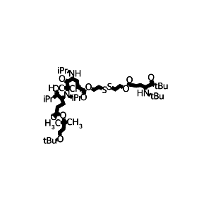 CC(C)NC(CCC(=O)OCCSSCCOC(=O)CCC(NC(C)(C)C)C(=O)C(C)(C)C)C(=O)C(C)(C)N(C(C)C)C(CCC(=O)OC(C)(C)CCOC(C)(C)C)C(=O)C(C)C